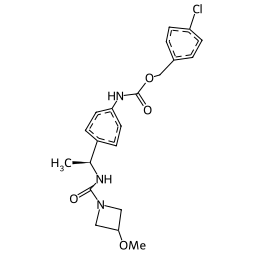 COC1CN(C(=O)N[C@@H](C)c2ccc(NC(=O)OCc3ccc(Cl)cc3)cc2)C1